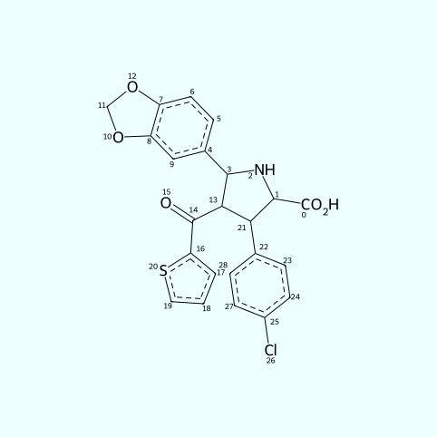 O=C(O)C1NC(c2ccc3c(c2)OCO3)C(C(=O)c2cccs2)C1c1ccc(Cl)cc1